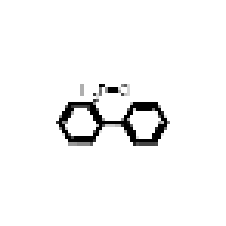 PCl.c1ccc(-c2ccccc2)cc1